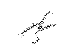 CCCCCCCCOC(=O)CCCCC(=O)OCCCCCCCC.CCCCCCCCOC(=O)c1ccccc1C(=O)OCCCCCCCC